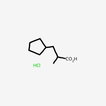 CC(CC1CCCC1)C(=O)O.Cl